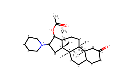 CC(=O)OC1C(N2CCCCC2)C[C@H]2[C@@H]3CCC4CCC(=O)C[C@]4(C)[C@@H]3CC[C@]12C